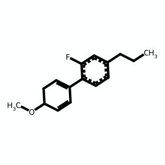 CCCc1ccc(C2=CCC(OC)C=C2)c(F)c1